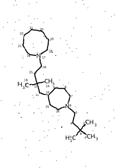 CC(C)(C)CCN1CCCC(CC(C)(C)CCN2CCCCCCC2)CC1